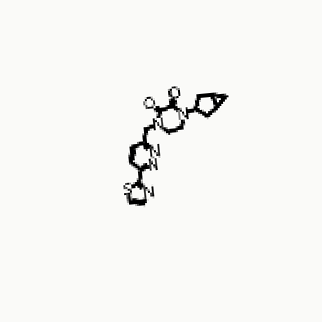 O=C1C(=O)N(C2CC3CC3C2)CCN1Cc1ccc(-c2nccs2)nn1